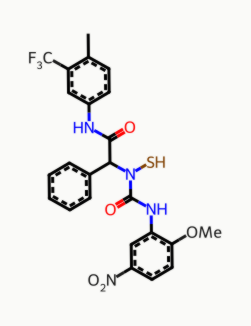 COc1ccc([N+](=O)[O-])cc1NC(=O)N(S)C(C(=O)Nc1ccc(C)c(C(F)(F)F)c1)c1ccccc1